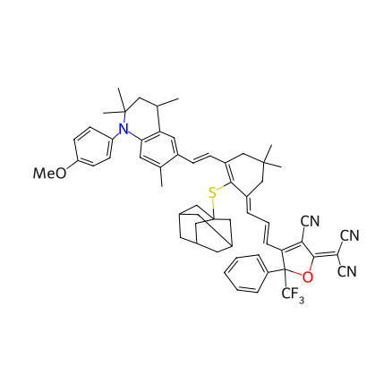 COc1ccc(N2c3cc(C)c(C=CC4=C(SC56CC7CC(CC(C7)C5)C6)C(=CC=CC5=C(C#N)C(=C(C#N)C#N)OC5(c5ccccc5)C(F)(F)F)CC(C)(C)C4)cc3C(C)CC2(C)C)cc1